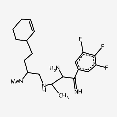 CNC(CCC1C=CCCC1)CNC(C)C(N)C(=N)c1cc(F)c(F)c(F)c1